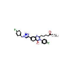 COC(=O)CCCCc1nc2cc(-c3cn(CC4=CCC(F)C=C4)nn3)ccc2c(=O)n1-c1ccc(F)cc1